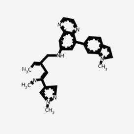 C=N/C(=C\C(=C/C)CNc1cc(-c2ccc3ccn(C)c3c2)c2nccnc2c1)c1cnn(C)c1